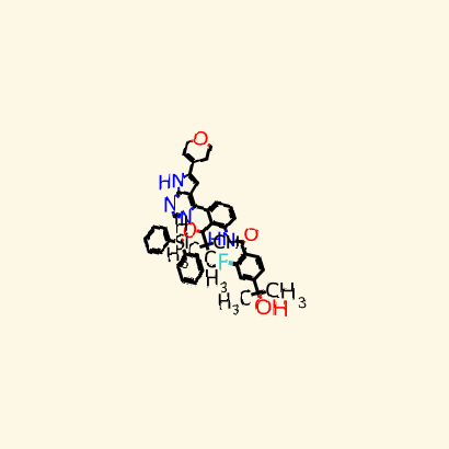 CC(C)(O)c1ccc(C(=O)Nc2cccc(-c3ncnc4[nH]c(C5=CCOCC5)cc34)c2C(O[SiH](c2ccccc2)c2ccccc2)C(C)(C)C)c(F)c1